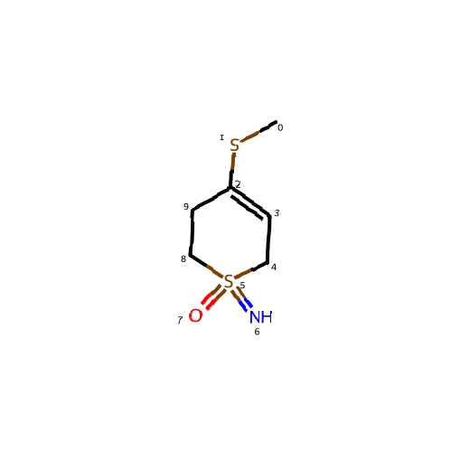 CSC1=CCS(=N)(=O)CC1